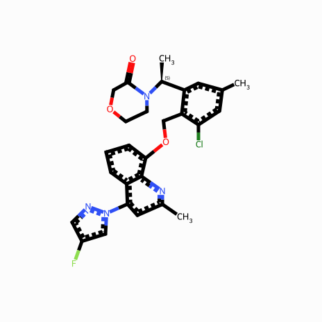 Cc1cc(Cl)c(COc2cccc3c(-n4cc(F)cn4)cc(C)nc23)c([C@H](C)N2CCOCC2=O)c1